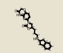 O=C1COc2ccc(N3CC(CCCNC4Cc5ccccc5C4)OC3=O)nc2N1